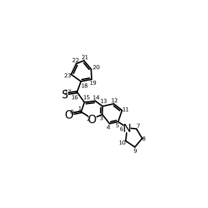 O=c1oc2cc(N3CCCC3)ccc2cc1C(=S)c1ccccc1